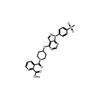 COC(=O)c1ncccc1C(=O)N1CCC(Oc2ncnc3c2cnn3-c2ccc(S(C)(=O)=O)cc2)CC1